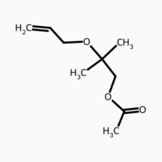 C=CCOC(C)(C)COC(C)=O